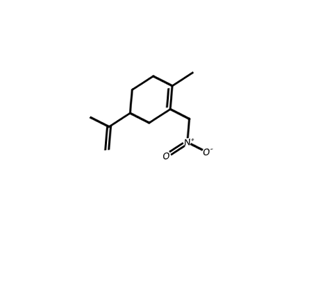 C=C(C)C1CCC(C)=C(C[N+](=O)[O-])C1